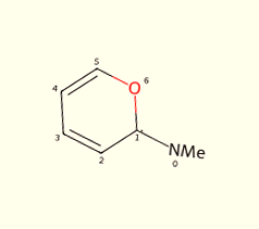 CN[C]1C=CC=CO1